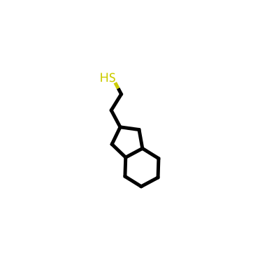 SCCC1CC2CCCCC2C1